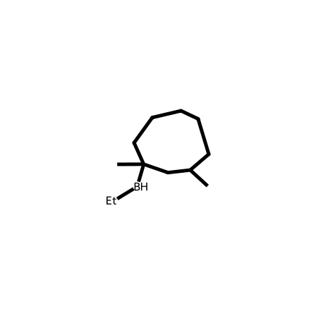 CCBC1(C)CCCCCC(C)C1